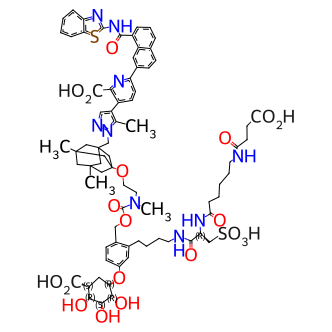 Cc1c(-c2ccc(-c3ccc4cccc(C(=O)Nc5nc6ccccc6s5)c4c3)nc2C(=O)O)cnn1CC12CC3(C)CC(C)(C1)CC(OCCN(C)C(=O)OCc1ccc(O[C@@H]4C[C@H](C(=O)O)[C@@H](O)[C@H](O)[C@H]4O)cc1CCCCNC(=O)[C@H](CS(=O)(=O)O)NC(=O)CCCCCNC(=O)CCC(=O)O)(C3)C2